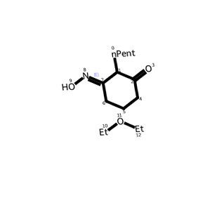 CCCCCC1C(=O)CCC/C1=N\O.CCOCC